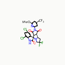 COc1cc(C(F)(F)F)cc(N2C(=O)C3C4CC(F)(F)CN4C4(C(=O)Nc5c(Cl)cc(Cl)cc54)C3C2=O)n1